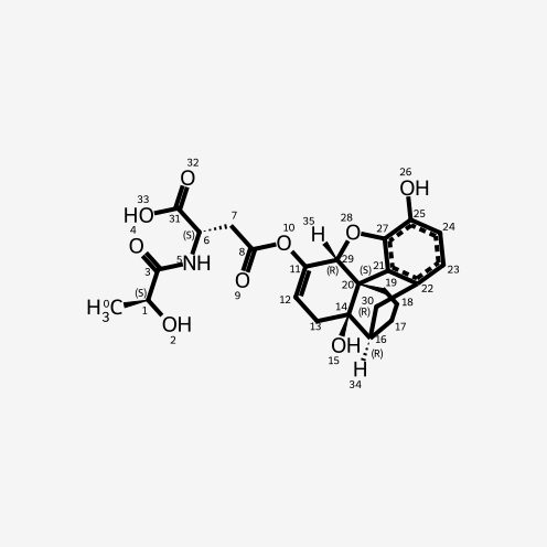 C[C@H](O)C(=O)N[C@@H](CC(=O)OC1=CC[C@@]2(O)[C@@H]3CCC[C@@]24c2c(ccc(O)c2O[C@@H]14)C3)C(=O)O